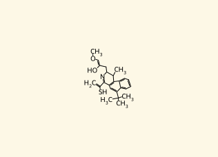 C=C(S)C1=NC(C/C(O)=C/OC)C(C)c2c1cc(C(C)(C)C)c1ccccc21